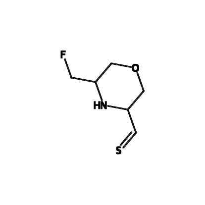 FCC1COCC(C=S)N1